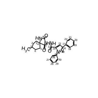 CC1CCC2(CC1)NC(=O)N(NC(=O)c1cc(-c3ccccc3)nn1-c1ccccc1)C2=O